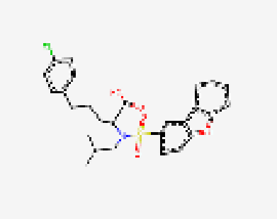 CC(C)CN(C(CCCc1ccc(Cl)cc1)C(=O)O)S(=O)(=O)c1ccc2oc3ccccc3c2c1